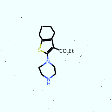 CCOC(=O)c1c(N2CCNCC2)sc2c1CCCC2